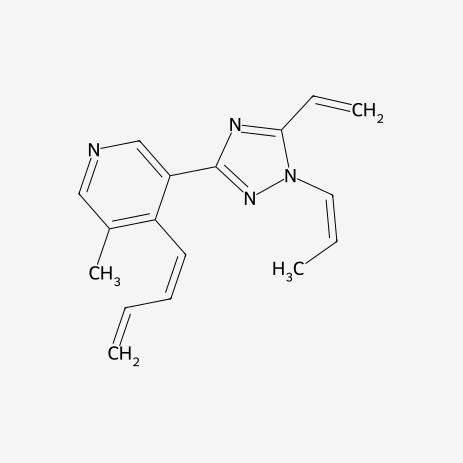 C=C/C=C\c1c(C)cncc1-c1nc(C=C)n(/C=C\C)n1